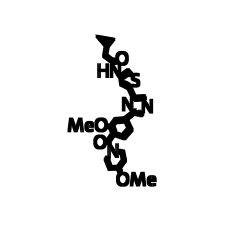 COc1cc(-c2cncc(-c3cc(NC(=O)CC4CC4)cs3)n2)ccc1C(=O)N1CCC(OC)CC1